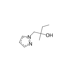 CCC(C)(O)Cn1cccn1